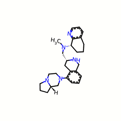 CN(C[C@H]1Cc2c(cccc2N2CCN3CCC[C@H]3C2)CN1)[C@H]1CCCc2cccnc21